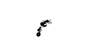 CC1Cc2c(OCc3ccc(-c4ccccc4)cn3)ccc3c2c(c(CC(C)(C)C(=O)O)n3C)S1